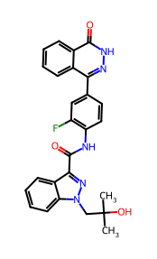 CC(C)(O)Cn1nc(C(=O)Nc2ccc(-c3n[nH]c(=O)c4ccccc34)cc2F)c2ccccc21